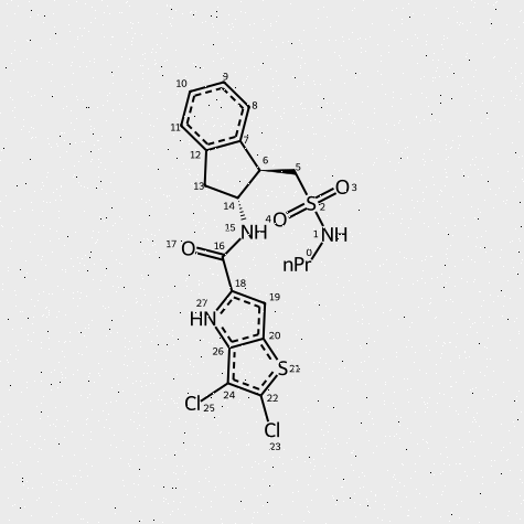 CCCNS(=O)(=O)C[C@@H]1c2ccccc2C[C@H]1NC(=O)c1cc2sc(Cl)c(Cl)c2[nH]1